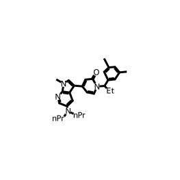 CCCN(CCC)c1cnc2c(c1)c(-c1ccn(C(CC)c3cc(C)cc(C)c3)c(=O)c1)cn2C